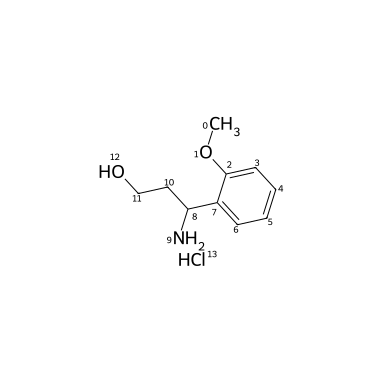 COc1ccccc1C(N)CCO.Cl